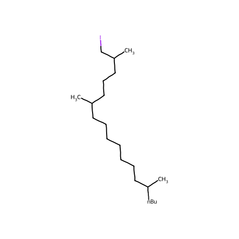 CCCCC(C)CCCCCCCC(C)CCCC(C)CI